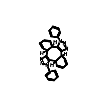 C1=C[C@@H]2c3c(nnn3-c3ccccc3)[C@@H]3C=CC=C[C@@H]3c3c(nnn3-c3ccccc3)[C@@H]2C=C1